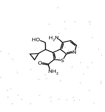 NC(=O)c1sc2nccc(N)c2c1C(CO)C1CC1